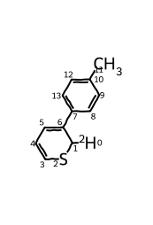 [2H]C1SC=CC=C1c1ccc(C)cc1